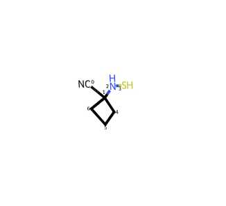 N#CC1(NS)CCC1